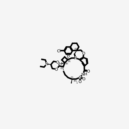 CCN(CC)[C@H]1CO[C@H]([C@H]2CCC[C@H](C)[C@@H](C)S(=O)(=O)NC(=O)c3ccc4c(c3)N(C[C@@H]3CC[C@H]32)C[C@@]2(CCCc3cc(Cl)ccc32)CO4)OC1